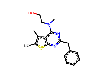 Cc1c(C#N)sc2nc(Cc3ccccc3)nc(N(C)CCO)c12